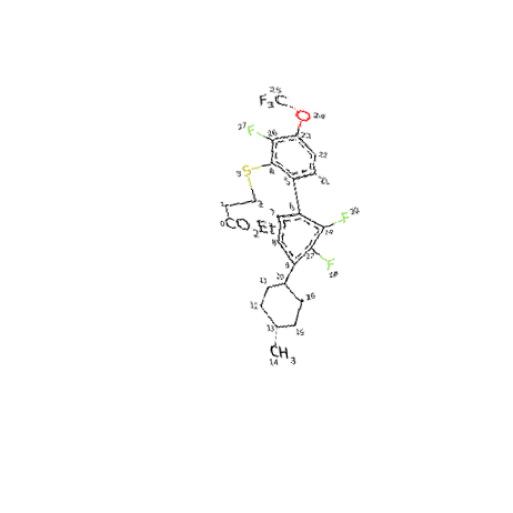 CCOC(=O)CCSc1c(-c2ccc(C3CCC(C)CC3)c(F)c2F)ccc(OC(F)(F)F)c1F